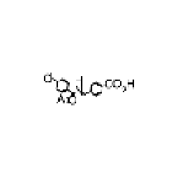 CC(=O)c1cc(Cl)ccc1C(=O)NCc1ccc(C(=O)O)cc1